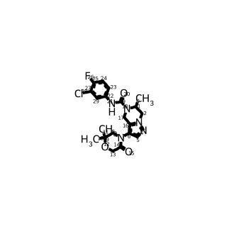 CC1Cn2ncc(N3CC(C)(C)OCC3=O)c2CN1C(=O)Nc1ccc(F)c(Cl)c1